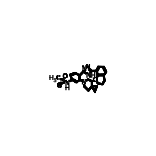 CS(=O)(=O)Nc1ccc(-c2nnc(-c3cccc4c3OCCC4)[nH]2)c(N2CCC3(CC2)CC3)c1